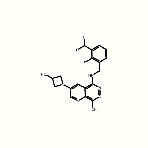 Cc1nnc(NCc2cccc(C(F)F)c2F)c2cc(N3CC(O)C3)cnc12